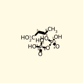 CC=CC(=O)O.O=P(O)(O)OP(=O)(O)O